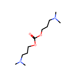 CN(C)CCCOC(=O)OCCCN(C)C